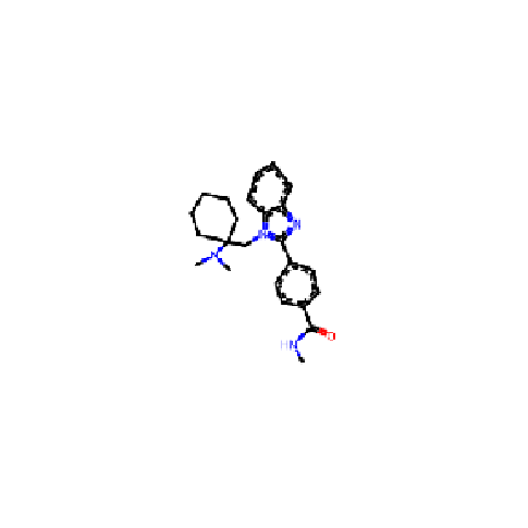 CNC(=O)c1ccc(-c2nc3ccccc3n2CC2(N(C)C)CCCCC2)cc1